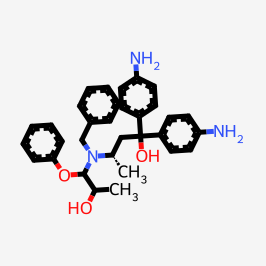 CC(O)C(Oc1ccccc1)N(Cc1ccccc1)[C@@H](C)CC(O)(c1ccc(N)cc1)c1ccc(N)cc1